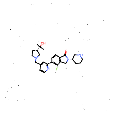 C[C@@H]1c2c(ccc(-c3cc(CN4CC[C@H](C(C)(C)O)C4)ccn3)c2F)C(=O)N1[C@H]1CCCNC1